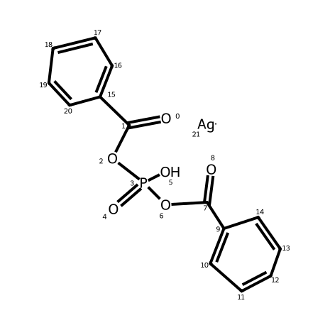 O=C(OP(=O)(O)OC(=O)c1ccccc1)c1ccccc1.[Ag]